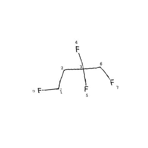 F[CH]CC(F)(F)CF